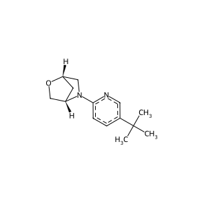 CC(C)(C)c1ccc(N2C[C@@H]3C[C@H]2CO3)nc1